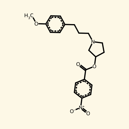 COc1ccc(CCCN2CCC(OC(=O)c3ccc([N+](=O)[O-])cc3)C2)cc1